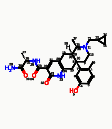 Cc1ccc(O)cc1[C@]12CCN(CC3CC3)[C@H](C)[C@@H]1Cc1cc(C(=O)N[C@@H](C)C(N)=O)c(=O)[nH]c1C2